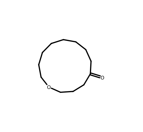 O=C1CCCCCCCCOCCC1